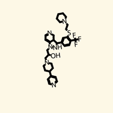 OC(CN1CCC(c2ccncc2)CC1)CN1NC(c2ccc(C(F)(F)F)c(SCCN3CCCCC3)c2)C2CN=CC=C21